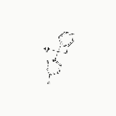 NC1(c2ccc(Br)cc2)Cc2ccccc21